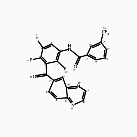 O=C(Nc1cc(F)c(F)c(C(=O)c2ccc3nccnc3c2)c1F)c1cccc(C(F)(F)F)c1